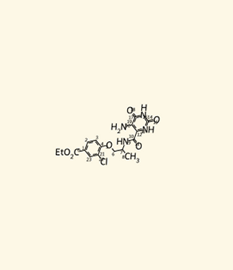 CCOC(=O)c1ccc(OCC(C)NC(=O)c2[nH]c(=O)[nH]c(=O)c2N)c(Cl)c1